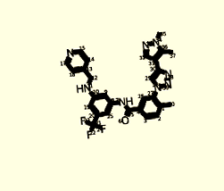 Cc1ccc(C(=O)Nc2cc(NCc3ccncc3)cc(C(F)(F)F)c2)cc1-n1cc(-c2cnn(C)c2C)nn1